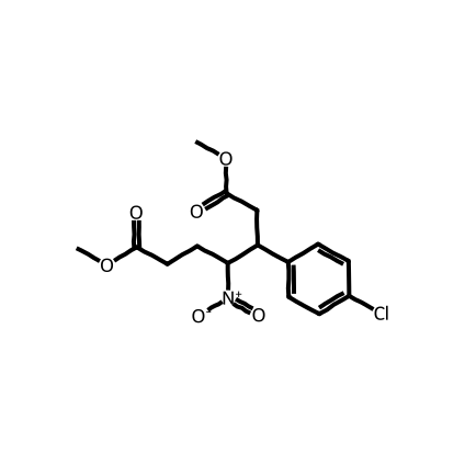 COC(=O)CCC(C(CC(=O)OC)c1ccc(Cl)cc1)[N+](=O)[O-]